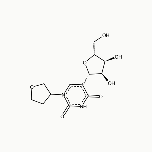 O=c1[nH]c(=O)n(C2CCOC2)cc1[C@@H]1O[C@H](CO)[C@@H](O)[C@H]1O